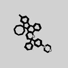 Cc1ccc2c(c1)C1(CCCCCCC1)c1c3c(c4ccccc4c1-2)OC(c1ccccc1)(c1ccc(N2CCOCC2)cc1)C=C3